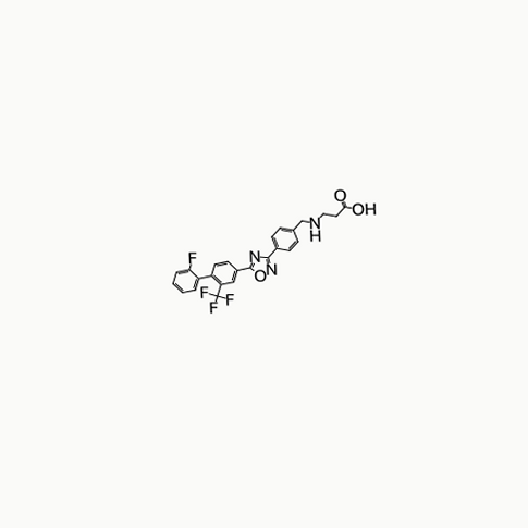 O=C(O)CCNCc1ccc(-c2noc(-c3ccc(-c4ccccc4F)c(C(F)(F)F)c3)n2)cc1